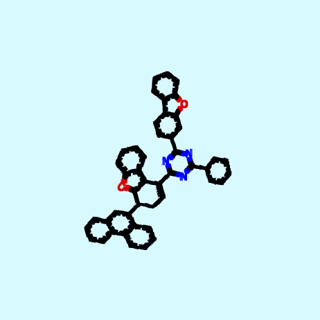 C1=C(c2nc(-c3ccccc3)nc(-c3ccc4c(c3)oc3ccccc34)n2)c2c(oc3ccccc23)C(c2cc3ccccc3c3ccccc23)C1